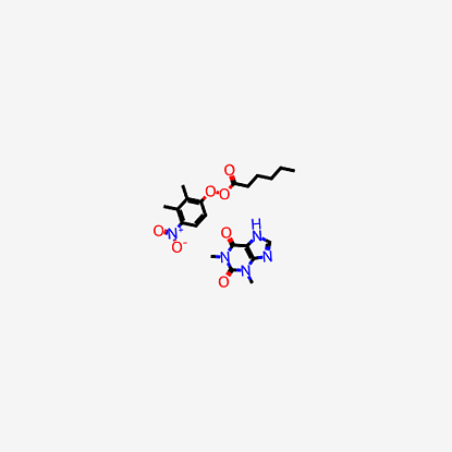 CCCCCC(=O)OOc1ccc([N+](=O)[O-])c(C)c1C.Cn1c(=O)c2[nH]cnc2n(C)c1=O